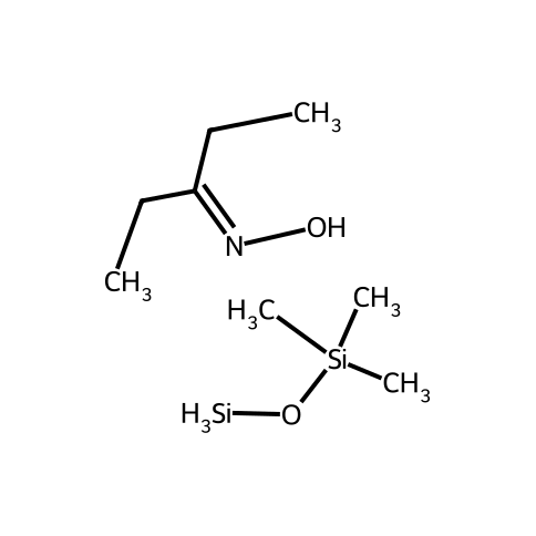 CCC(CC)=NO.C[Si](C)(C)O[SiH3]